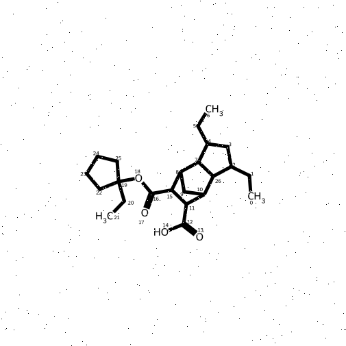 CCC1CC(CC)C2C3CC(C(C(=O)O)C3C(=O)OC3(CC)CCCC3)C12